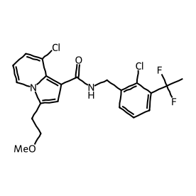 COCCc1cc(C(=O)NCc2cccc(C(C)(F)F)c2Cl)c2c(Cl)cccn12